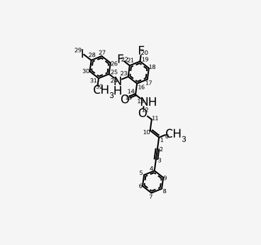 CC(C#Cc1ccccc1)=CCONC(=O)c1ccc(F)c(F)c1Nc1ccc(I)cc1C